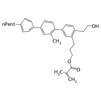 C=C(C)C(=O)OCCCc1cc(-c2ccc(-c3ccc(CCCCC)cc3)cc2C)ccc1CCO